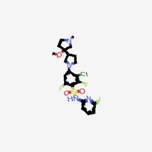 COC1(C2CCN(c3cc(F)c(S(=O)(=O)Nc4cccc(F)n4)c(F)c3Cl)C2)CCN(C)C1